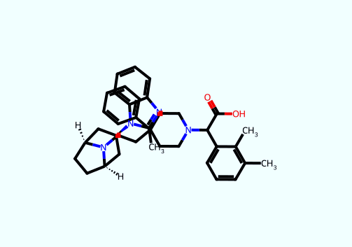 Cc1cccc(C(C(=O)O)N2CCC(CCN3[C@@H]4CC[C@H]3C[C@@H](n3c(C)nc5ccccc53)C4)(c3ccccc3)CC2)c1C